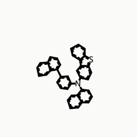 c1cc(-c2cccc3ccccc23)cc(N(c2ccc3sc4ccccc4c3c2)c2cccc3ccccc23)c1